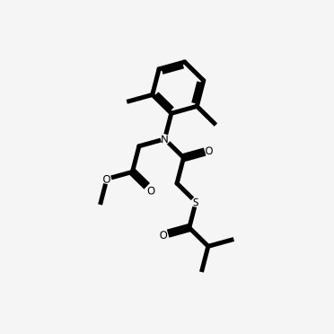 COC(=O)CN(C(=O)CSC(=O)C(C)C)c1c(C)cccc1C